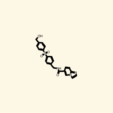 O=C(NCc1ccc(S(=O)(=O)c2ccc(CO)cc2)cc1)c1ccc2nccn2c1